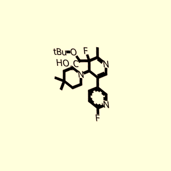 CC1=NC=C(c2ccc(F)nc2)C(N2CCC(C)(C)CC2)C1(F)C(OC(C)(C)C)C(=O)O